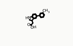 Cc1cccc(-c2ccc3c(c2)C(CC(=O)O)CN3)c1